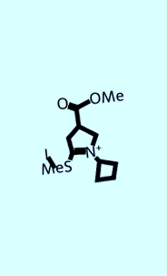 CI.COC(=O)C1CC(SC)=[N+](C2CCC2)C1